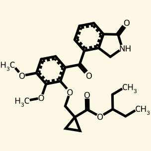 CCC(CC)OC(=O)C1(COc2c(C(=O)c3cccc4c3CNC4=O)ccc(OC)c2OC)CC1